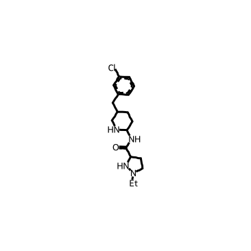 CCN1CCC(C(=O)NC2CCC(Cc3cccc(Cl)c3)CN2)N1